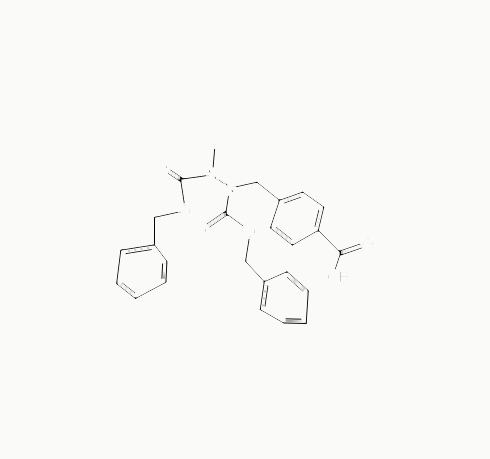 CN(C(=O)OCc1ccccc1)N(Cc1ccc(C(=O)O)cc1)C(=O)OCc1ccccc1